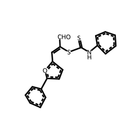 O=C/C(=C/c1ccc(-c2ccccc2)o1)SC(=S)Nc1ccccc1